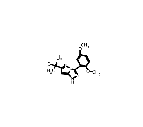 COc1ccc(OC)c(-c2n[nH]c3cc(C(C)(C)C)nn23)c1